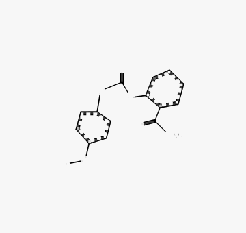 CCOc1ccc(OC(=O)Oc2ccccc2C(=O)OC)cc1